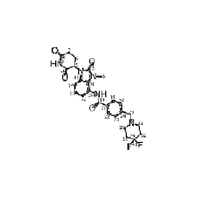 Cn1c(=O)n(C2CCC(=O)NC2=O)c2cccc(NC(=O)c3ccc(CN4CCC(F)(F)CC4)cc3)c21